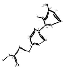 COC(=O)CCc1ccc(-c2cccc(C)c2C)cc1